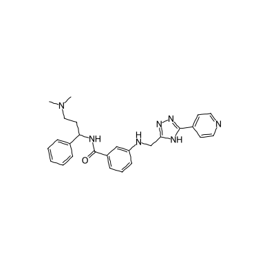 CN(C)CCC(NC(=O)c1cccc(NCc2nnc(-c3ccncc3)[nH]2)c1)c1ccccc1